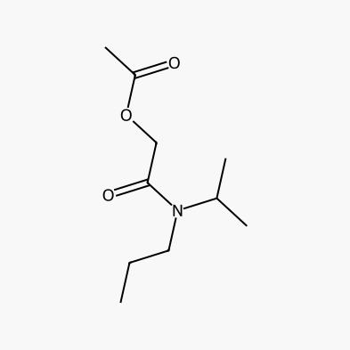 CCCN(C(=O)COC(C)=O)C(C)C